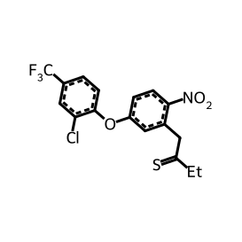 CCC(=S)Cc1cc(Oc2ccc(C(F)(F)F)cc2Cl)ccc1[N+](=O)[O-]